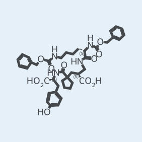 O=C(NCCCC[C@H](NC(=O)OCc1ccccc1)C(=O)NC[C@H](CC1(C(=O)N[C@@H](Cc2ccc(O)cc2)C(=O)O)CCCC1)C(=O)O)OCc1ccccc1